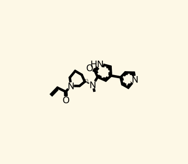 C=CC(=O)N1CCC[C@H](N(C)c2cc(-c3ccncc3)c[nH]c2=O)C1